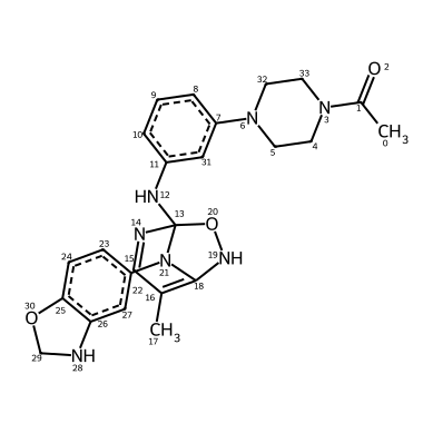 CC(=O)N1CCN(c2cccc(NC34N=CC(C)=C(NO3)N4c3ccc4c(c3)NCO4)c2)CC1